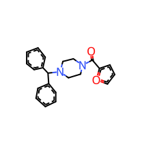 O=C(c1ccco1)N1CCN(C(c2ccccc2)c2ccccc2)CC1